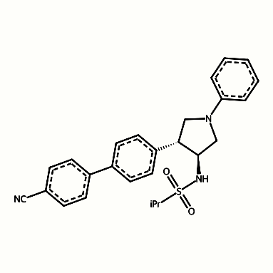 CC(C)S(=O)(=O)N[C@@H]1CN(c2ccccc2)C[C@H]1c1ccc(-c2ccc(C#N)cc2)cc1